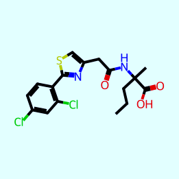 CCCC(C)(NC(=O)Cc1csc(-c2ccc(Cl)cc2Cl)n1)C(=O)O